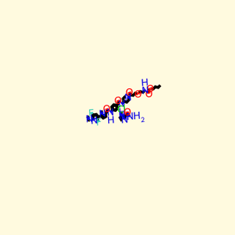 CCCCOC(=O)NCCOCCC(=O)N1CCC(NC(=O)c2ccc(NC(=O)c3ccc(-c4cc(F)c(N(C)C)nc4F)n3C)cc2Cl)CC1.Cn1ccnc1C(N)=O